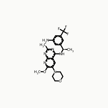 COc1nc2nc(C)nc(N[C@H](C)c3cc(N)cc(C(F)(F)F)c3)c2cc1N1CCOCC1